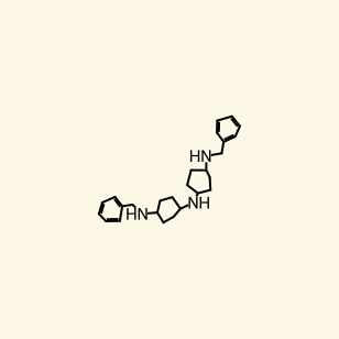 c1ccc(CNC2CCC(NC3CCC(NCc4ccccc4)CC3)CC2)cc1